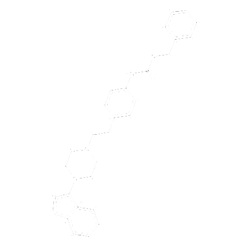 O=C(NCc1ccccc1)Nc1ccc(CCN2CCN(c3nsc4ccccc34)CC2)cc1